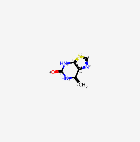 C=C1NC(=O)Nc2scnc21